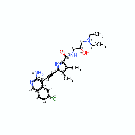 CCN(CC)CC(O)CNC(=O)c1[nH]c(C#Cc2c(N)ncc3ccc(Cl)cc23)c(C)c1C